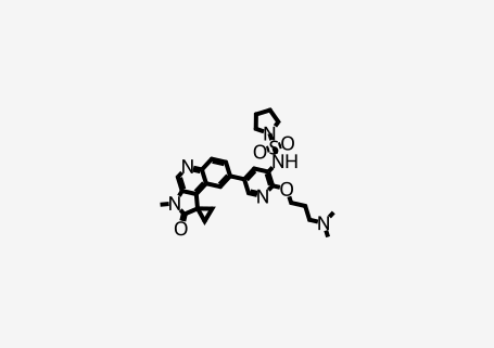 CN(C)CCCOc1ncc(-c2ccc3ncc4c(c3c2)C2(CC2)C(=O)N4C)cc1NS(=O)(=O)N1CCCC1